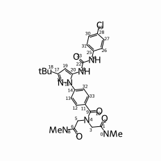 CNC(=O)CN(CC(=O)NC)C(=O)c1ccc(-n2nc(C(C)(C)C)cc2NC(=O)Nc2ccc(Cl)cc2)cc1